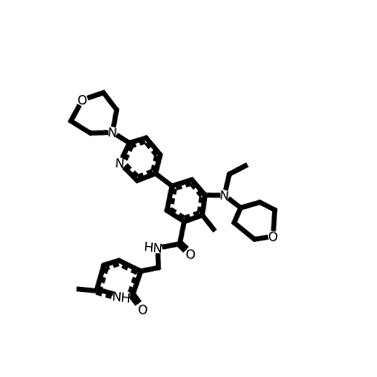 CCN(c1cc(-c2ccc(N3CCOCC3)nc2)cc(C(=O)NCc2ccc(C)[nH]c2=O)c1C)C1CCOCC1